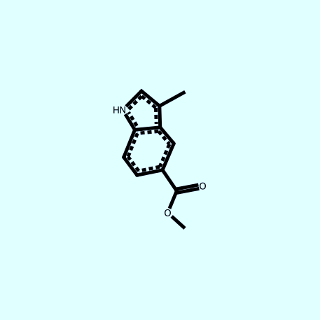 COC(=O)c1ccc2[nH]cc(C)c2c1